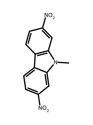 Cn1c2cc([N+](=O)[O-])ccc2c2ccc([N+](=O)[O-])cc21